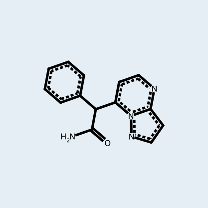 NC(=O)C(c1ccccc1)c1ccnc2ccnn12